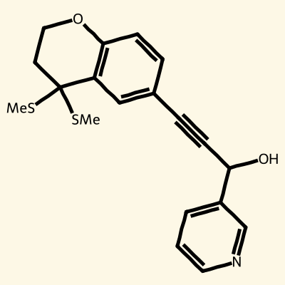 CSC1(SC)CCOc2ccc(C#CC(O)c3cccnc3)cc21